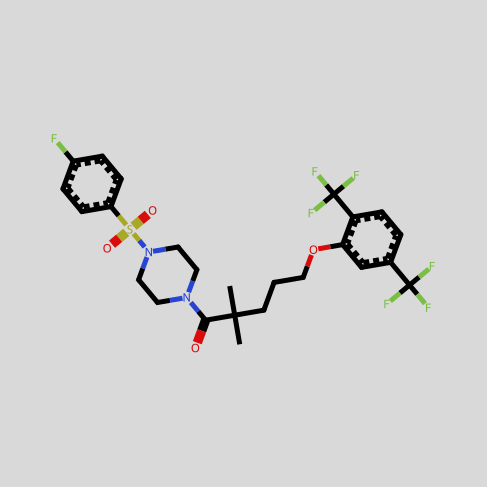 CC(C)(CCCOc1cc(C(F)(F)F)ccc1C(F)(F)F)C(=O)N1CCN(S(=O)(=O)c2ccc(F)cc2)CC1